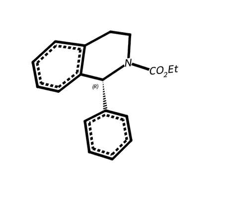 CCOC(=O)N1CCc2ccccc2[C@H]1c1ccccc1